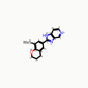 CSc1cc(-c2nc3cnccc3[nH]2)cc2c1OCCC2